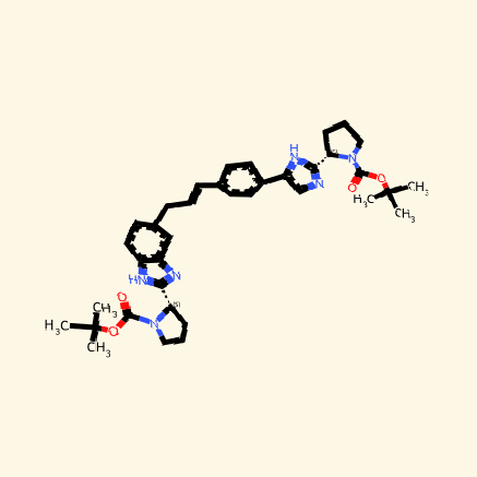 CC(C)(C)OC(=O)N1CCC[C@H]1c1ncc(-c2ccc(C=CCc3ccc4[nH]c([C@@H]5CCCN5C(=O)OC(C)(C)C)nc4c3)cc2)[nH]1